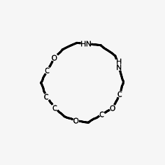 C1CCOCCNCCNCCOCCOCC1